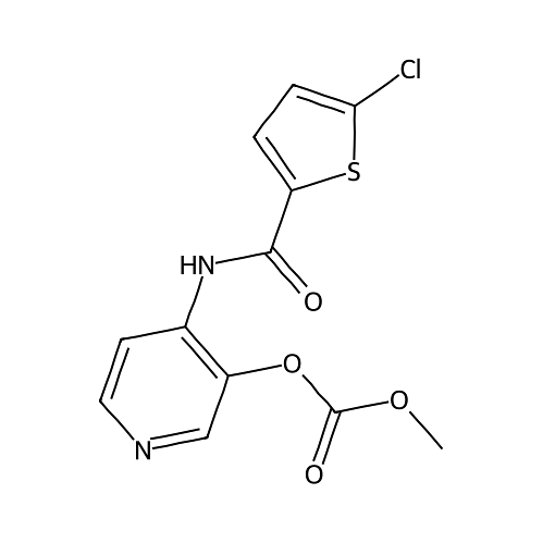 COC(=O)Oc1cnccc1NC(=O)c1ccc(Cl)s1